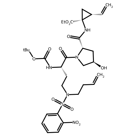 C=CCCN(CC[C@H](NC(=O)OC(C)(C)C)C(=O)N1C[C@H](O)C[C@H]1C(=O)N[C@@]1(C(=O)OCC)C[C@@H]1C=C)S(=O)(=O)c1ccccc1[N+](=O)[O-]